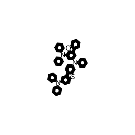 c1ccc(N(c2ccccc2)c2ccc3sc4cc(N(c5ccccc5)c5cc(N(c6ccccc6)c6ccccc6)c6oc7ccccc7c6c5)ccc4c3c2)cc1